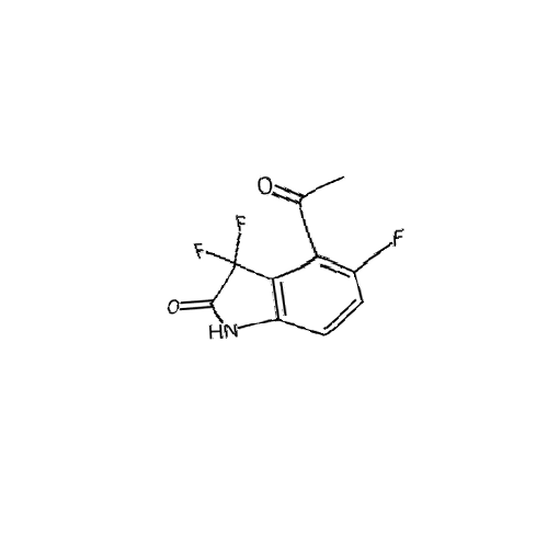 CC(=O)c1c(F)ccc2c1C(F)(F)C(=O)N2